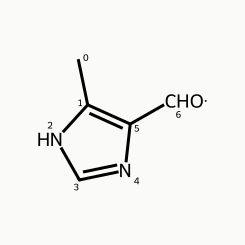 Cc1[nH]cnc1[C]=O